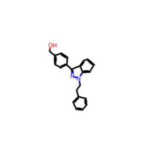 OCc1ccc(-c2nn(CCc3ccccc3)c3ccccc23)cc1